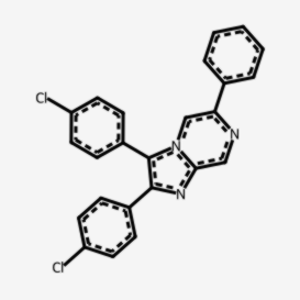 Clc1ccc(-c2nc3cnc(-c4ccccc4)cn3c2-c2ccc(Cl)cc2)cc1